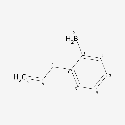 Bc1ccccc1CC=C